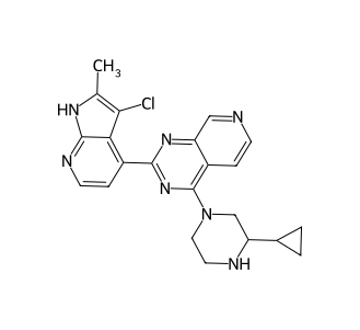 Cc1[nH]c2nccc(-c3nc(N4CCNC(C5CC5)C4)c4ccncc4n3)c2c1Cl